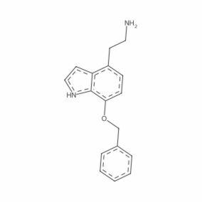 NCCc1ccc(OCc2ccccc2)c2[nH]ccc12